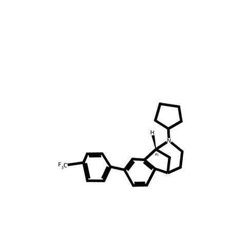 FC(F)(F)c1ccc(-c2ccc3c(c2)[C@H]2CC3CCN2C2CCCC2)cc1